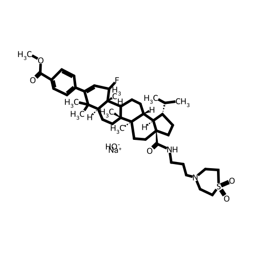 COC(=O)c1ccc(C2=CC(F)[C@]3(C)[C@H]4CC[C@@H]5[C@H]6[C@H](C(C)C)CC[C@]6(C(=O)NCCCN6CCS(=O)(=O)CC6)CC[C@@]5(C)[C@]4(C)CC[C@H]3C2(C)C)cc1.[Na+].[OH-]